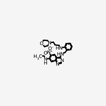 CCNc1cc2ncnc(NCc3ccccc3NCCCN3CCOCC3)c2cc1[N+](=O)[O-]